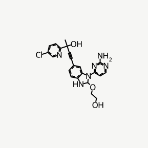 CC(O)(C#Cc1ccc2c(c1)N(c1ccnc(N)n1)C(OCCO)N2)c1ccc(Cl)cn1